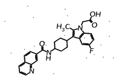 Cc1c(C2CCC(NC(=O)c3ccc4cccnc4c3)CC2)c2cc(F)ccc2n1CC(=O)O